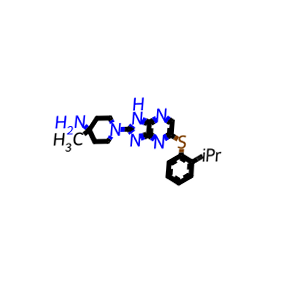 CC(C)c1ccccc1Sc1cnc2[nH]c(N3CCC(C)(N)CC3)nc2n1